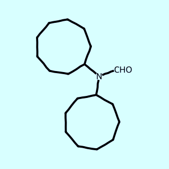 O=CN(C1CCCCCCCC1)C1CCCCCCCC1